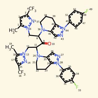 Cc1cc(C(F)(F)F)nn1CC(C(=O)C(Cn1nc(C(F)(F)F)cc1C)N1CCCc2c1cnn2-c1ccc(F)cc1)N1CCCc2c1cnn2-c1ccc(F)cc1